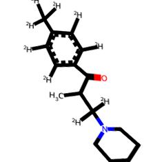 [2H]c1c([2H])c(C([2H])([2H])[2H])c([2H])c([2H])c1C(=O)C(C)C([2H])([2H])N1CCCCC1